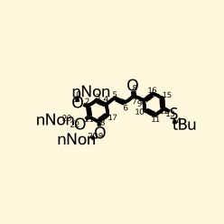 CCCCCCCCCOc1cc(/C=C/C(=O)c2ccc(SC(C)(C)C)cc2)cc(OCCCCCCCCC)c1OCCCCCCCCC